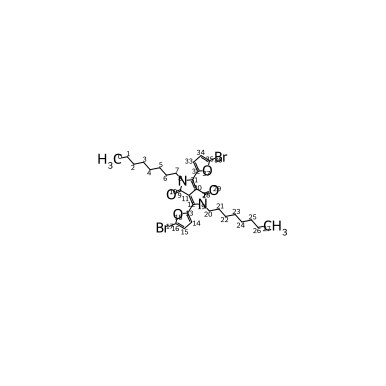 CCCCCCCCN1C(=O)C2=C(c3ccc(Br)o3)N(CCCCCCCC)C(=O)C2=C1c1ccc(Br)o1